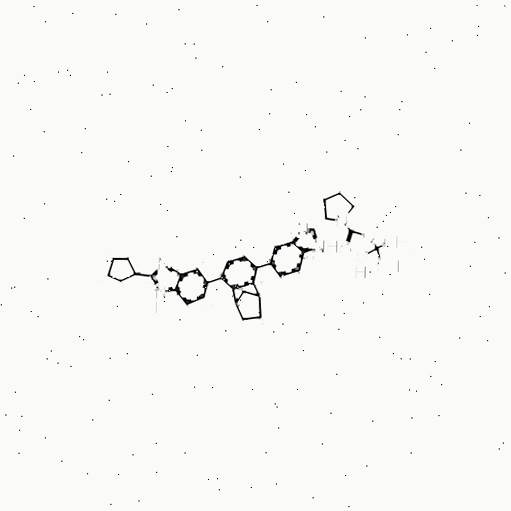 CC(C)(C)OC(=O)N1CCC[C@H]1c1nc2cc(-c3ccc(-c4ccc5[nH]c(C6CCCC6)nc5c4)c4c3C3CCC4C3)ccc2[nH]1